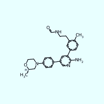 Cc1ccc(-c2cc(-c3ccc(N4CCO[C@H](C)C4)cc3)cnc2N)cc1CCNC=O